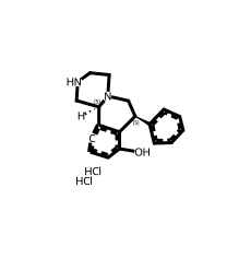 Cl.Cl.Oc1cccc2c1[C@H](c1ccccc1)CN1CCNC[C@H]21